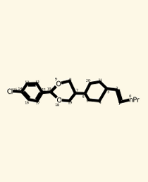 CCCC=CC1CCC(C2COC(c3ccc(Cl)cc3)OC2)CC1